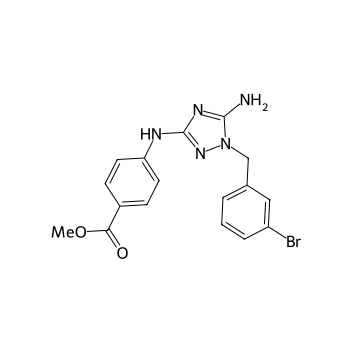 COC(=O)c1ccc(Nc2nc(N)n(Cc3cccc(Br)c3)n2)cc1